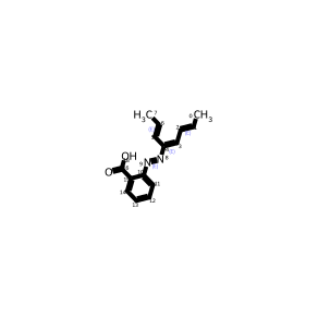 C/C=C/C=C(\C=C\C)/N=N/c1ccccc1C(=O)O